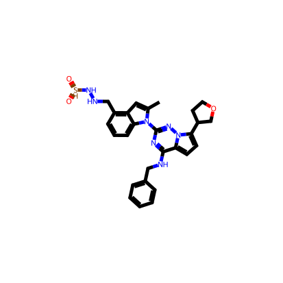 Cc1cc2c(CNN[SH](=O)=O)cccc2n1-c1nc(NCc2ccccc2)c2ccc(C3CCOC3)n2n1